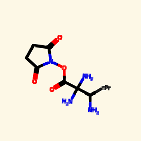 CCCC(N)C(N)(N)C(=O)ON1C(=O)CCC1=O